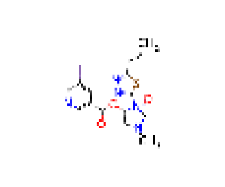 C=CCc1nnc([N+]2([O-])CN(C)CC2OC(=O)c2cncc(I)c2)s1